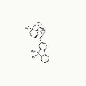 CC1=CC=C2C(C)C13C=C(C=CC3(C)C)N2c1ccc2c(c1)C(C)(C)c1ccccc1-2